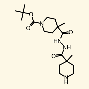 CC(C)(C)OC(=O)N1CCC(C)(C(=O)NNC(=O)C2(C)CCNCC2)CC1